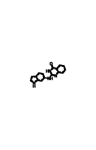 O=c1[nH]c(Nc2ccc3cc[nH]c3c2)nc2ccccc12